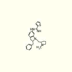 CN1CCCC1CCN1c2cc(NC(=N)c3cccs3)ccc2CC1Cc1ccccc1